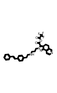 O=C(OC(=O)C(F)(F)F)c1c2c(nn1CCCNCCc1ccc(C=Cc3ccccc3)cc1)-c1ccncc1CC2